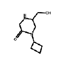 O=C1CNC(CO)CN1C1CCC1